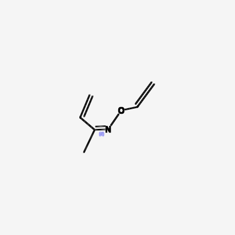 C=CO/N=C(/C)C=C